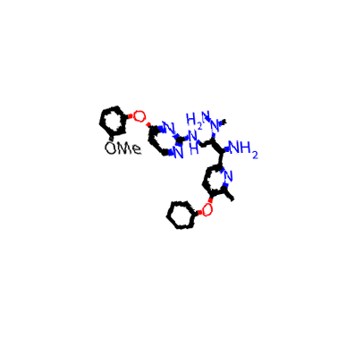 COc1cccc(Oc2ccnc(NC/C(=C(/N)c3ccc(OC4CCCCC4)c(C)n3)N(C)N)n2)c1